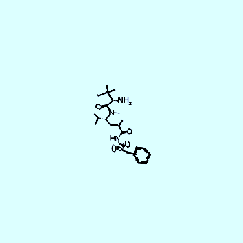 CC(=C[C@H](C(C)C)N(C)C(=O)[C@@H](N)C(C)(C)C)C(=O)NS(=O)(=O)Cc1ccccc1